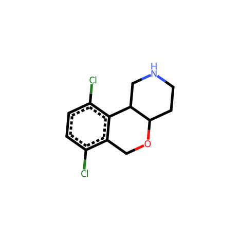 Clc1ccc(Cl)c2c1COC1CCNCC21